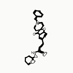 O=C(C=Cc1ccc2c(c1)C(=O)C1(CCN(Cc3ccccc3)CC1)O2)NOC1CCCCO1